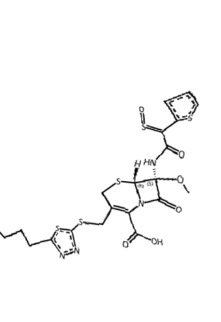 CCCCc1nnc(SCC2=C(C(=O)O)N3C(=O)[C@](NC(=O)C(=S=O)c4cccs4)(OC)[C@H]3SC2)s1